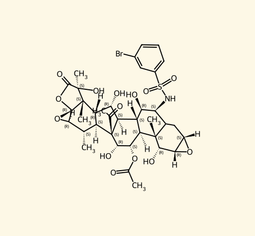 CC(=O)O[C@H]1[C@H]2[C@@H]([C@@H](O)[C@@H](NS(=O)(=O)c3cccc(Br)c3)C3C[C@@H]4O[C@@H]4[C@H](O)[C@@]32C)[C@@H]2[C@@H](O)[C@@H]3[C@H]([C@H](C)[C@H]4O[C@]45OC(=O)[C@@](C)(O)[C@]35C)[C@@]2(C(C)=O)[C@H]1O